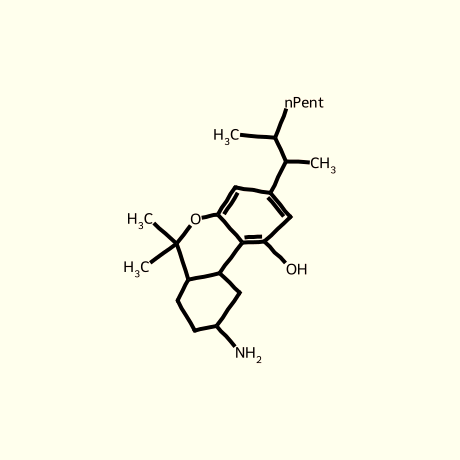 CCCCCC(C)C(C)c1cc(O)c2c(c1)OC(C)(C)C1CCC(N)CC21